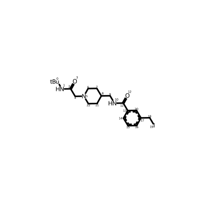 CC(C)(C)NC(=O)CN1CCC(CNC(=O)c2cccc(CI)c2)CC1